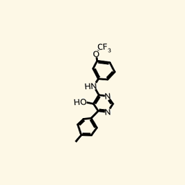 Cc1ccc(-c2ncnc(Nc3cccc(OC(F)(F)F)c3)c2O)cc1